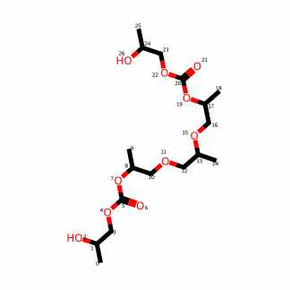 CC(O)COC(=O)OC(C)COCC(C)OCC(C)OC(=O)OCC(C)O